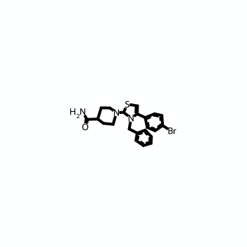 NC(=O)C1CCN(C2SC=C(c3ccc(Br)cc3)N2Cc2ccccc2)CC1